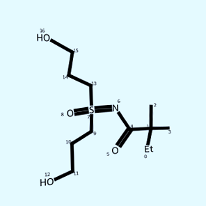 CCC(C)(C)C(=O)N=S(=O)(CCCO)CCCO